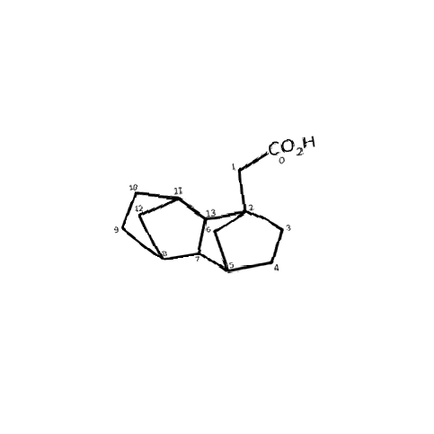 O=C(O)CC12CCC(C1)C1C3CCC(C3)C12